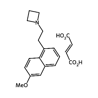 COc1ccc2c(CCN3CCC3)cccc2c1.O=C(O)/C=C/C(=O)O